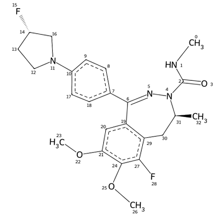 CNC(=O)N1N=C(c2ccc(N3CC[C@H](F)C3)cc2)c2cc(OC)c(OC)c(F)c2C[C@@H]1C